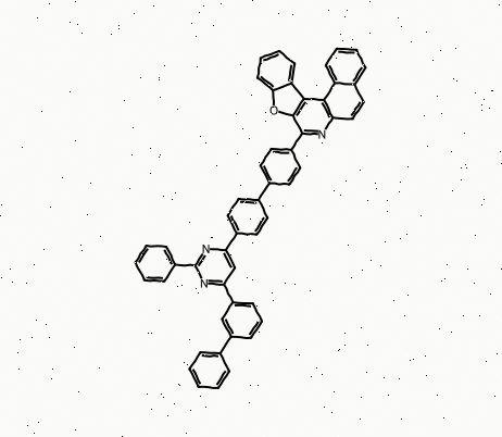 c1ccc(-c2cccc(-c3cc(-c4ccc(-c5ccc(-c6nc7ccc8ccccc8c7c7c6oc6ccccc67)cc5)cc4)nc(-c4ccccc4)n3)c2)cc1